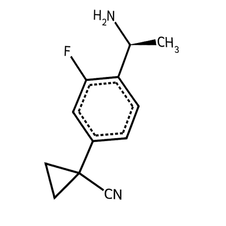 C[C@H](N)c1ccc(C2(C#N)CC2)cc1F